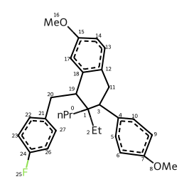 CCCC1(CC)C(c2ccc(OC)cc2)Cc2ccc(OC)cc2C1Cc1ccc(F)cc1